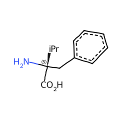 CC(C)[C@@](N)(Cc1ccccc1)C(=O)O